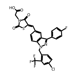 O=C(O)CN1C(=O)S/C(=C\c2ccc3c(c2)c(-c2ccc(F)cc2)nn3Cc2ccc(Cl)cc2C(F)(F)F)C1=O